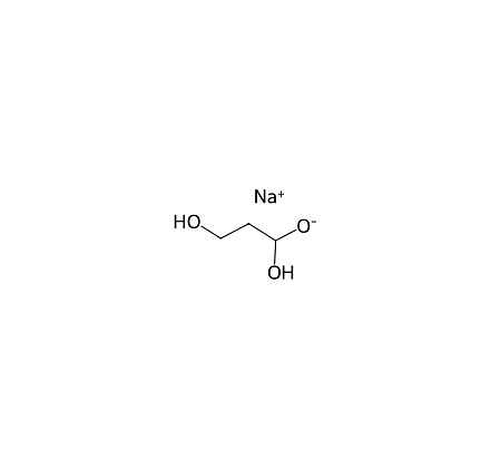 [Na+].[O-]C(O)CCO